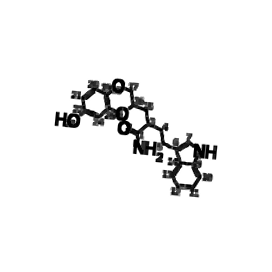 NC(=O)C(CCc1c[nH]c2ccccc12)CC1COc2ccc(O)cc2O1